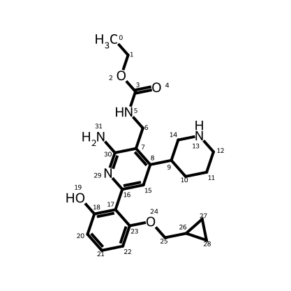 CCOC(=O)NCc1c(C2CCCNC2)cc(-c2c(O)cccc2OCC2CC2)nc1N